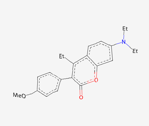 CCc1c(-c2ccc(OC)cc2)c(=O)oc2cc(N(CC)CC)ccc12